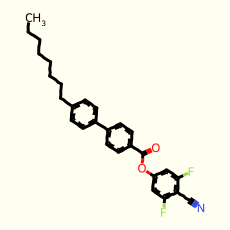 CCCCCCCCc1ccc(-c2ccc(C(=O)Oc3cc(F)c(C#N)c(F)c3)cc2)cc1